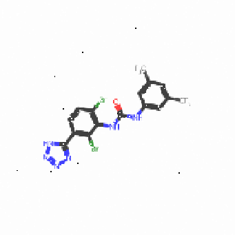 O=C(Nc1cc(C(F)(F)F)cc(C(F)(F)F)c1)Nc1c(Br)ccc(-c2nnn[nH]2)c1Br